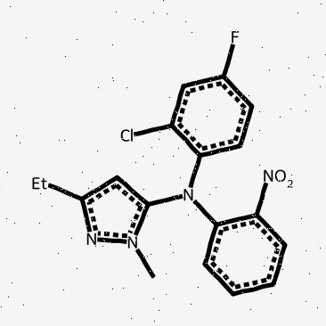 CCc1cc(N(c2ccc(F)cc2Cl)c2ccccc2[N+](=O)[O-])n(C)n1